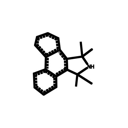 CC1(C)NC(C)(C)c2c1c1ccccc1c1ccccc21